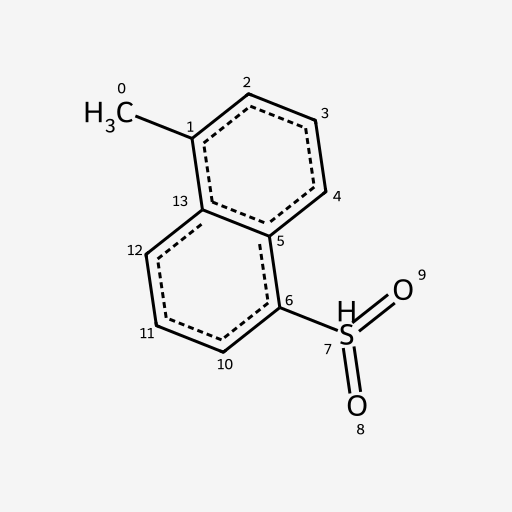 Cc1cccc2c([SH](=O)=O)cccc12